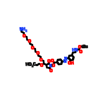 CC(C)(C)OC(=O)NCCc1ccc(O)c(/N=N/c2ccc(C(=O)ON3C(=O)CC(C(COCCOCCOCCOCCOCCN)OCCC(=O)O)C3=O)cc2)c1